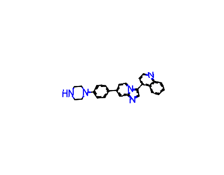 c1ccc2c(-c3cnc4cc(-c5ccc(N6CCNCC6)cc5)ccn34)ccnc2c1